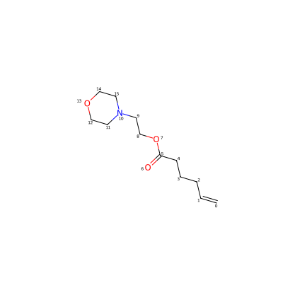 C=CCCCC(=O)OCCN1CCOCC1